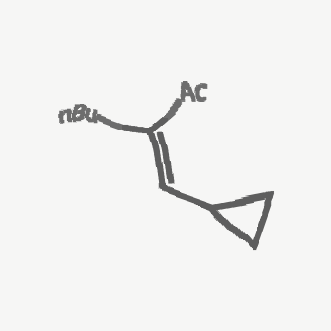 CCCCC(=CC1CC1)C(C)=O